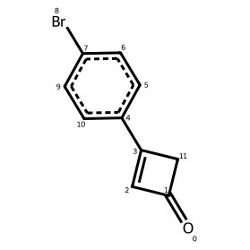 O=C1C=C(c2ccc(Br)cc2)C1